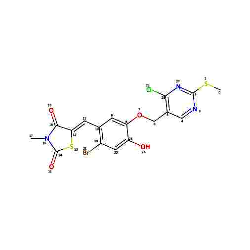 CSc1ncc(COc2cc(/C=C3\SC(=O)N(C)C3=O)c(Br)cc2O)c(Cl)n1